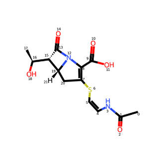 CC(=O)N/C=C\SC1=C(C(=O)O)N2C(=O)[C@@H]([C@H](C)O)[C@H]2C1